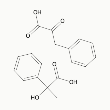 CC(O)(C(=O)O)c1ccccc1.O=C(O)C(=O)Cc1ccccc1